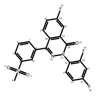 CS(=O)(=O)c1cccc(-c2nn(-c3ccc(F)cc3F)c(=O)c3cc(F)ccc23)c1